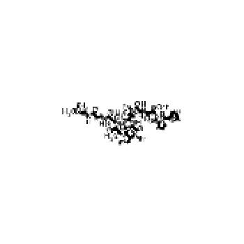 CCCCCCCCC(NC(=O)[C@@H]1CCCN1C(=O)c1cccs1)C(=O)NCC(=O)N(C(C)C)C(C)(C)C(=O)NCC(=O)N(C(C)C)C(CC(C)C)C(=O)NC(C)(C)C(=O)NC(C)(C)C(=O)NCCC(=O)NCCN(C)C